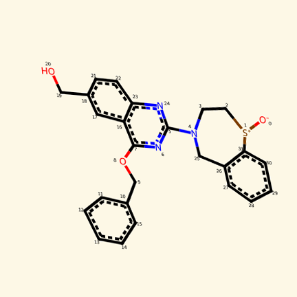 [O-][S+]1CCN(c2nc(OCc3ccccc3)c3cc(CO)ccc3n2)Cc2ccccc21